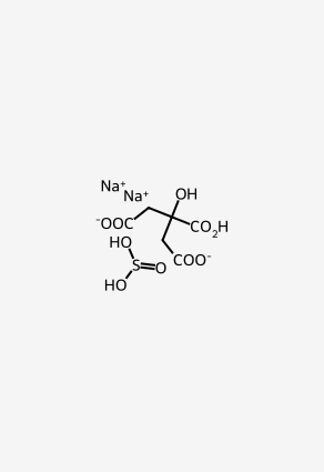 O=C([O-])CC(O)(CC(=O)[O-])C(=O)O.O=S(O)O.[Na+].[Na+]